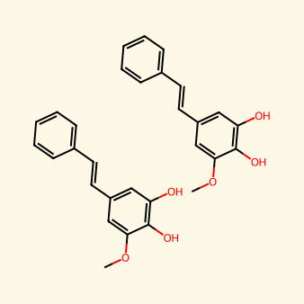 COc1cc(/C=C/c2ccccc2)cc(O)c1O.COc1cc(/C=C/c2ccccc2)cc(O)c1O